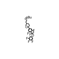 CCCCOCCC1CCC(c2cc(F)c(C(F)(F)Oc3cc(F)c(F)c(F)c3)c(F)c2)OC1